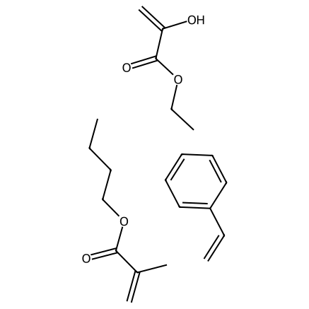 C=C(C)C(=O)OCCCC.C=C(O)C(=O)OCC.C=Cc1ccccc1